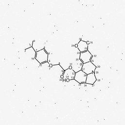 CC(C)c1ccc(OCC(=O)OC2C(O)C=C3CCN4Cc5cc6c(cc5C2C34)OCO6)cc1